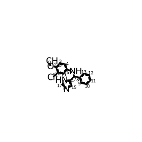 COc1ccc(NC(c2ccccc2)c2cnc[nH]2)cc1Cl